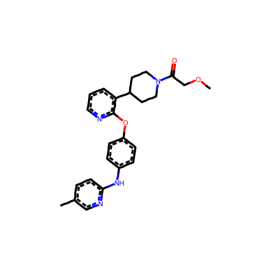 COCC(=O)N1CCC(c2cccnc2Oc2ccc(Nc3ccc(C)cn3)cc2)CC1